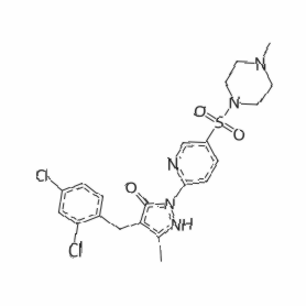 Cc1[nH]n(-c2ccc(S(=O)(=O)N3CCN(C)CC3)cn2)c(=O)c1Cc1ccc(Cl)cc1Cl